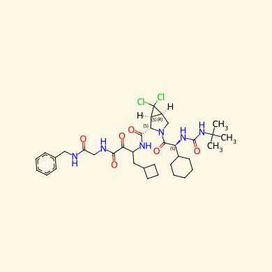 CC(C)(C)NC(=O)N[C@H](C(=O)N1C[C@H]2[C@@H]([C@H]1C(=O)NC(CC1CCC1)C(=O)C(=O)NCC(=O)NCc1ccccc1)C2(Cl)Cl)C1CCCCC1